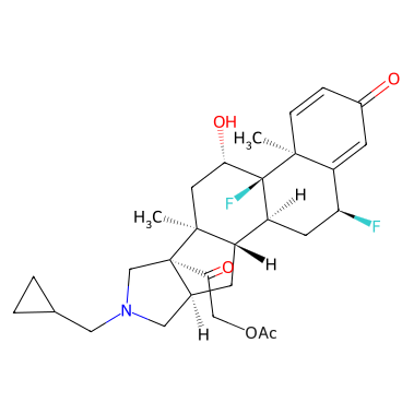 CC(=O)OCC(=O)[C@@]12CN(CC3CC3)C[C@@H]1C[C@H]1[C@@H]3C[C@H](F)C4=CC(=O)C=C[C@]4(C)[C@@]3(F)[C@@H](O)C[C@@]12C